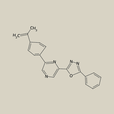 C=C(C)c1ccc(-c2cncc(-c3nnc(-c4ccccc4)o3)n2)cc1